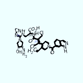 C=CC1=C(/C(Cl)=C(\CCl)C(=O)N[C@@H](CN/C(=N\C#N)N2C[C@@H](N)[C@H](O)C2)C(=O)O)CCN(C(=O)c2ccc3cn[nH]c3c2)C1